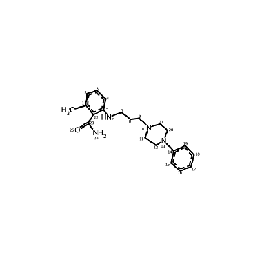 Cc1cccc(NCCCN2CCN(c3ccccc3)CC2)c1C(N)=O